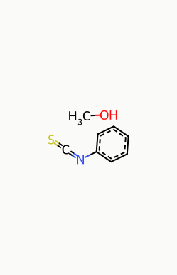 CO.S=C=Nc1ccccc1